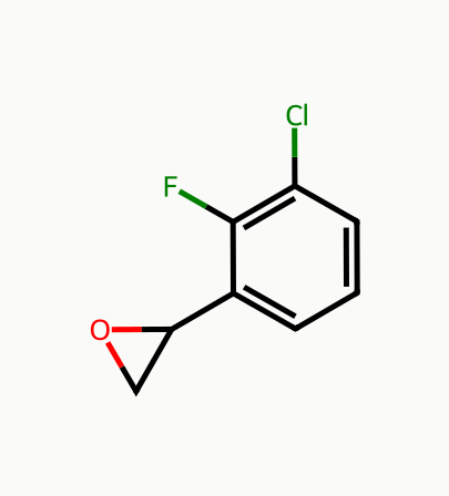 Fc1c(Cl)cccc1C1CO1